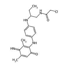 CCC(CNC(=O)CCl)Nc1ccc(NC2=C(C)C(=N)C(C)=CC2=O)cc1